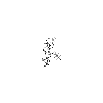 CC(C)[C@H]1CC[C@H]2C3=CC=C4C[C@@](Br)(O[Si](C)(C)C(C)(C)C)C[C@H](O[Si](C)(C)C(C)(C)C)[C@]4(C)[C@H]3CC[C@]12C